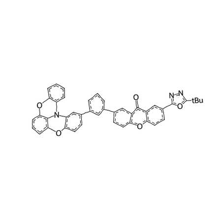 CC(C)(C)c1nnc(-c2ccc3oc4ccc(-c5cccc(-c6ccc7c(c6)N6c8ccccc8Oc8cccc(c86)O7)c5)cc4c(=O)c3c2)o1